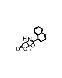 C[C@]12OC(=O)C[C@H]1N=C(c1cccc3ccccc13)O2